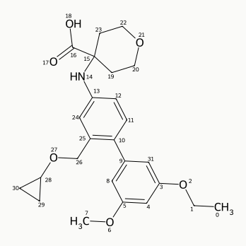 CCOc1cc(OC)cc(-c2ccc(NC3(C(=O)O)CCOCC3)cc2COC2CC2)c1